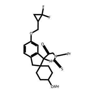 COC1CCC2(CC1)Cc1ccc(OCC3CC3(F)F)cc1C21NC(=S)N(C(C)C)CC1=O